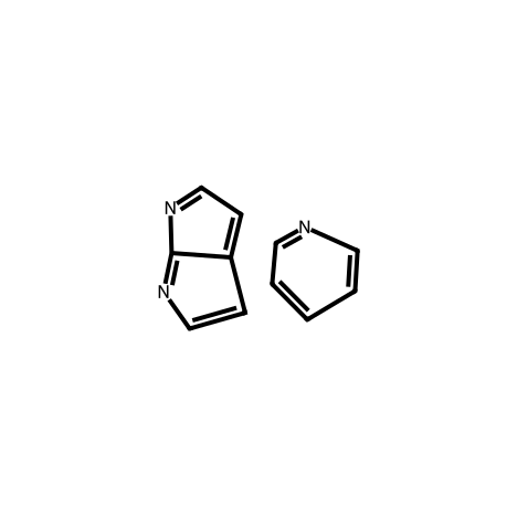 C1=CC2=CC=NC2=N1.c1ccncc1